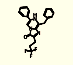 O=c1c(CCC(F)(F)F)nc2c(Cc3ccccc3)[nH]c(-c3ccccc3)cn1-2